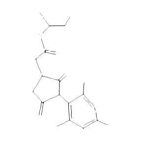 CCC(C)NC(=O)CC1CC(=O)C(c2c(C)cc(C)cc2C)C1=O